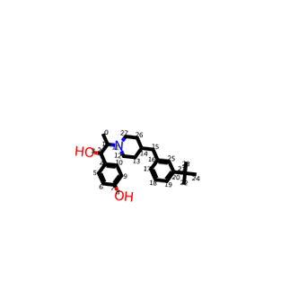 CC(C(O)c1ccc(O)cc1)N1CCC(Cc2cccc(C(C)(C)C)c2)CC1